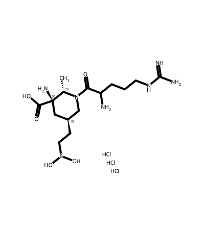 C[C@@H]1N(C(=O)C(N)CCCNC(=N)N)C[C@@H](CCB(O)O)C[C@]1(N)C(=O)O.Cl.Cl.Cl